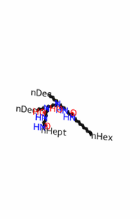 CCCCCC/C=C/CCCCCCCCNC(=O)CCNCC(O)CN(CCCCCCCCCCCCCC)CCCCN(CCCCCCCCCCCCCC)CC(O)CNCCC(=O)NCCCCCCC